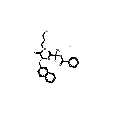 CC(C)(NC(=O)c1ccccc1)C(=O)N[C@H](Cc1ccc2ccccc2c1)C(=O)NCCCN.Cl